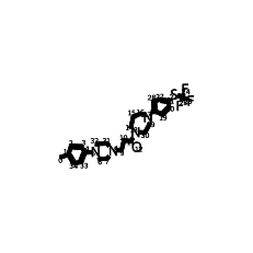 Cc1ccc(N2CCN(CCC(=O)N3CCCN(c4ccc(SC(F)(F)F)cc4)CC3)CC2)cc1